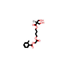 CCC(CO)(CO)C(=O)OCCCCOC(=O)COC(=O)c1ccccc1C